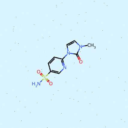 Cn1ccn(-c2ccc(S(N)(=O)=O)cn2)c1=O